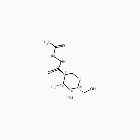 O=C(NNC(=O)C(F)(F)F)[C@H]1CO[C@H](CO)[C@H](O)[C@@H]1O